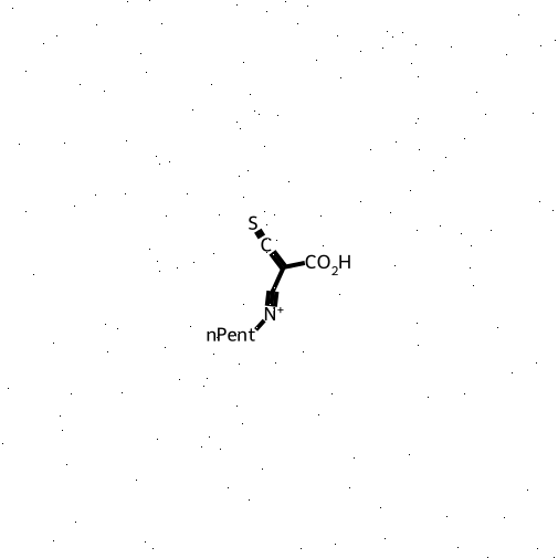 CCCCC[N+]#CC(=C=S)C(=O)O